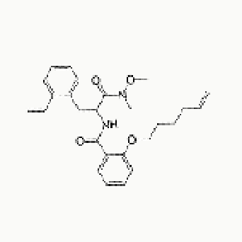 C=CCCCCOc1ccccc1C(=O)NC(Cc1ccccc1C=C)C(=O)N(C)OC